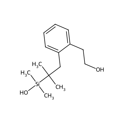 CC(C)(Cc1ccccc1CCO)[Si](C)(C)O